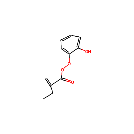 C=C(CC)C(=O)OOc1ccccc1O